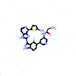 CCC(=O)Nc1cncc(-c2ccc3[nH]nc(-c4nc5c(-c6ccc(C)s6)nccc5[nH]4)c3c2F)c1